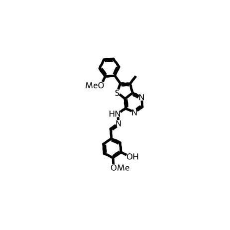 COc1ccc(C=NNc2ncnc3c(C)c(-c4ccccc4OC)sc23)cc1O